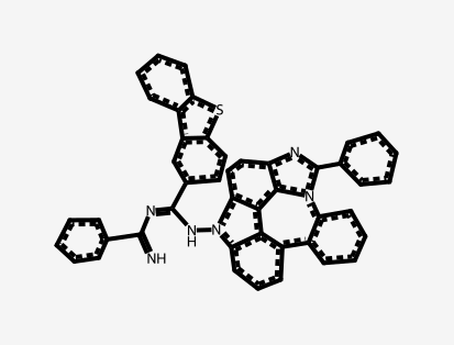 N=C(/N=C(\Nn1c2cccc3c4ccccc4n4c(-c5ccccc5)nc5ccc1c(c32)c54)c1ccc2sc3ccccc3c2c1)c1ccccc1